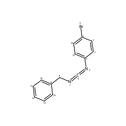 Brc1ccc(N=C=NCc2ccccc2)cc1